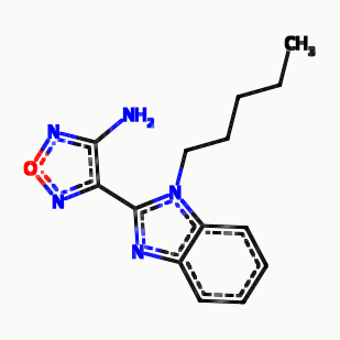 CCCCCn1c(-c2nonc2N)nc2ccccc21